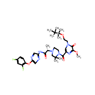 COc1nc(C(=O)N2CCN([C@@H](C)C(=O)Nc3cnc(Oc4ccc(F)cc4F)cn3)CC2(C)C)cn(CCO[Si](C)(C)C(C)(C)C)c1=O